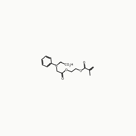 C=C(C)C(=O)OCCOC(=O)CN(CC(=O)O)c1ccccc1